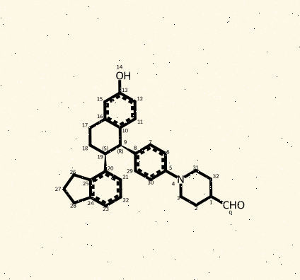 O=CC1CCN(c2ccc([C@@H]3c4ccc(O)cc4CC[C@@H]3c3cccc4c3CCC4)cc2)CC1